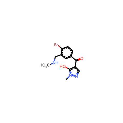 Cn1ncc(C(=O)c2ccc(Br)c(CNC(=O)O)c2)c1O